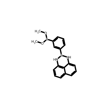 COB(OC)c1cccc(B2Nc3cccc4cccc(c34)N2)c1